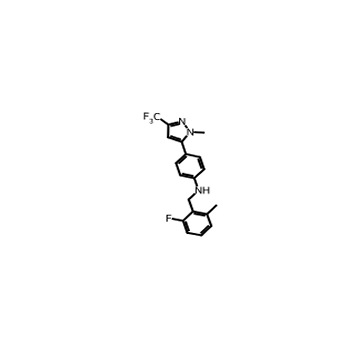 Cc1cccc(F)c1CNc1ccc(-c2cc(C(F)(F)F)nn2C)cc1